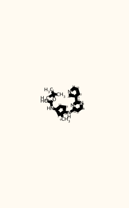 Cc1cc(NC(O)OC(C)(C)C)ccc1Nc1ccnc(-c2cccnc2)n1